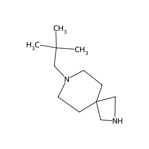 CC(C)(C)CN1CCC2(CC1)CNC2